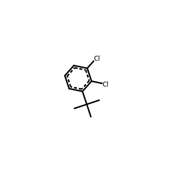 CC(C)(C)c1cccc(Cl)c1Cl